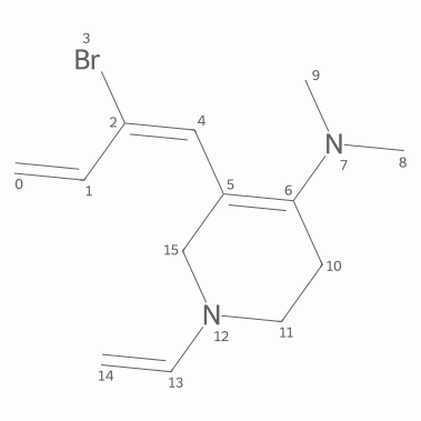 C=C/C(Br)=C\C1=C(N(C)C)CCN(C=C)C1